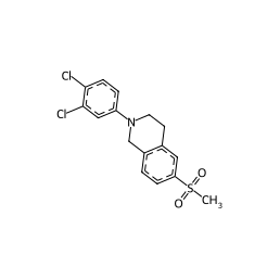 CS(=O)(=O)c1ccc2c(c1)CCN(c1ccc(Cl)c(Cl)c1)C2